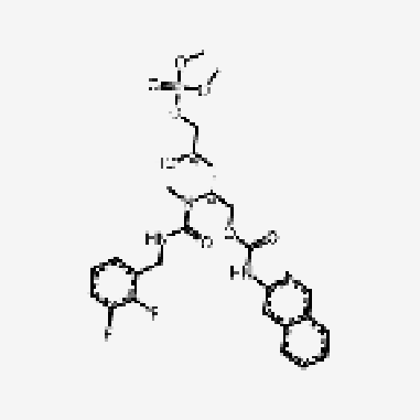 COP(=O)(OC)OC[C@H](O)C[C@H](COC(=O)Nc1cc2ccccc2cn1)N(C)C(=O)NCc1cccc(F)c1F